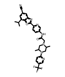 CC(C)c1cc(C#N)cc2nc(-c3ccc(NC(=O)CN4CC(C)N(c5ccc(C(F)(F)F)cn5)CC4C)cn3)oc12